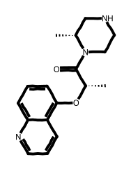 C[C@H](Oc1cccc2ncccc12)C(=O)N1CCNC[C@H]1C